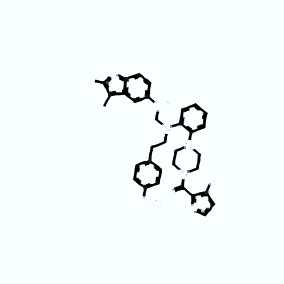 COc1ccc(CCN(C[S+]([O-])c2ccc3sc(C(=O)O)c(C)c3c2)c2ccccc2N2CCN(C(=O)c3sccc3Br)CC2)cc1